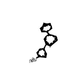 CCCCc1ccc(-c2[c]ccc(-c3ccccc3)c2)cc1